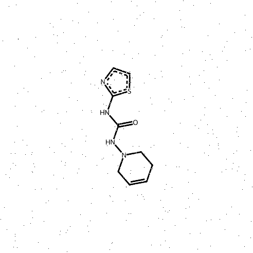 O=C(Nc1nccs1)NN1CC=CCC1